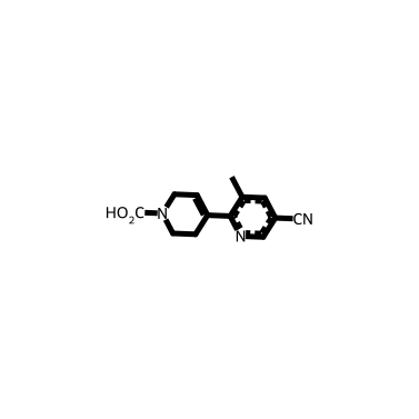 Cc1cc(C#N)cnc1C1=CCN(C(=O)O)CC1